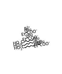 CC(C)(C)CCCCCC(=O)O.CC(C)(C)CCCCCC(=O)O.CC(C)(C)CCCCCC(=O)O.CCCCC(CC)C(=O)[O-].CCCCC(CC)C(=O)[O-].CCCCC(CC)C(=O)[O-].[B+3]